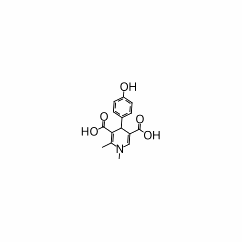 CC1=C(C(=O)O)C(c2ccc(O)cc2)C(C(=O)O)=CN1C